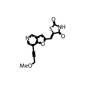 COCC#Cc1cncc2cc(/C=C3\SC(=O)NC3=O)oc12